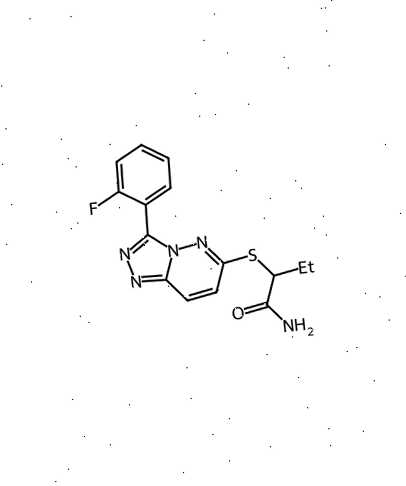 CCC(Sc1ccc2nnc(-c3ccccc3F)n2n1)C(N)=O